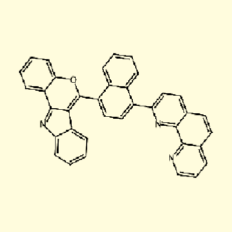 c1cnc2c(c1)ccc1ccc(-c3ccc(-c4oc5ccccc5c5nc6ccccc6c4-5)c4ccccc34)nc12